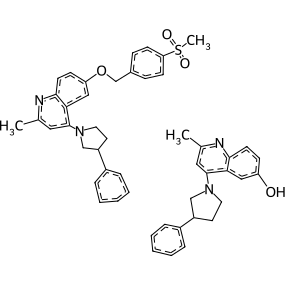 Cc1cc(N2CCC(c3ccccc3)C2)c2cc(O)ccc2n1.Cc1cc(N2CCC(c3ccccc3)C2)c2cc(OCc3ccc(S(C)(=O)=O)cc3)ccc2n1